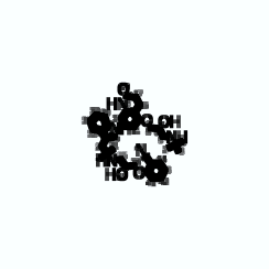 CC(C)(C)NCC(O)COc1cccc2c1CCC(=O)N2.CC(C)(Cc1c[nH]c2ccccc12)NCC(O)COc1ccccc1C#N